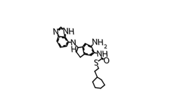 Nc1cc2c(cc1NC(=O)SCCC1CCCCC1)CCC2Nc1cccc2nc[nH]c12